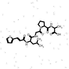 CC(C)CC(NC(=O)C=Cc1ccco1)C(=O)NCC(=O)N1CCCC1C(=O)NC(C)C(=O)O